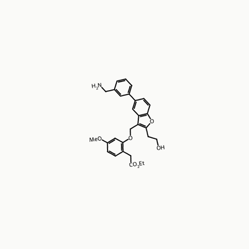 CCOC(=O)Cc1ccc(OC)cc1OCc1c(CCO)oc2ccc(-c3cccc(CN)c3)cc12